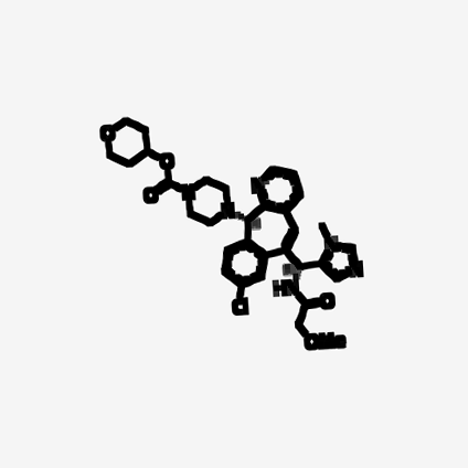 COCC(=O)N[C@H](C1=Cc2cccnc2[C@@H](N2CCN(C(=O)OC3CCOCC3)CC2)c2ccc(Cl)cc21)c1cncn1C